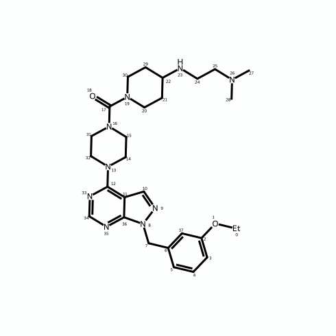 CCOc1cccc(Cn2ncc3c(N4CCN(C(=O)N5CCC(NCCN(C)C)CC5)CC4)ncnc32)c1